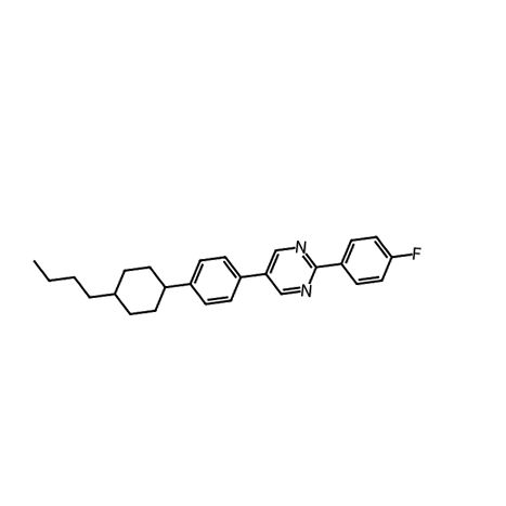 CCCCC1CCC(c2ccc(-c3cnc(-c4ccc(F)cc4)nc3)cc2)CC1